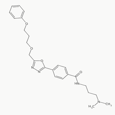 CN(C)CCCNC(=O)c1ccc(-c2nnc(COCCCOc3ccccc3)o2)cc1